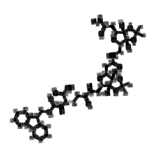 CC1(C)O[C@@H]2[C@H](O1)[C@@H](CNC(=O)C[C@@H]1O[C@H](CNC(=O)CC[C@H](NC(=O)OCC3c4ccccc4-c4ccccc43)C(=O)O)[C@H]3OC(C)(C)O[C@H]31)O[C@H]2CC(N)=O